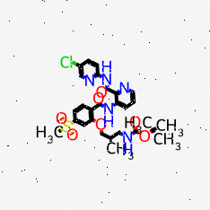 C[C@H](CNC(=O)OC(C)(C)C)COc1cc(S(C)(=O)=O)ccc1C(=O)Nc1cccnc1C(=O)Nc1ccc(Cl)cn1